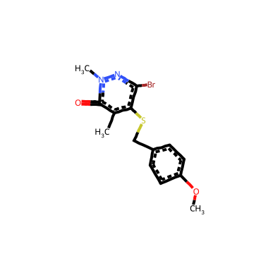 COc1ccc(CSc2c(Br)nn(C)c(=O)c2C)cc1